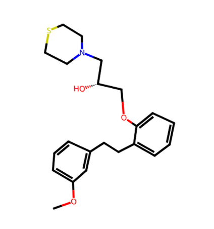 COc1cccc(CCc2ccccc2OC[C@H](O)CN2CCSCC2)c1